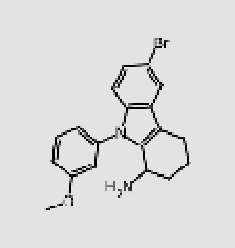 COc1cccc(-n2c3c(c4cc(Br)ccc42)CCCC3N)c1